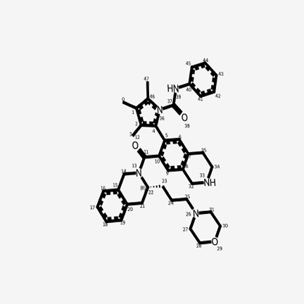 Cc1c(C)c(-c2cc3c(cc2C(=O)N2Cc4ccccc4C[C@H]2CCCN2CCOCC2)CNCC3)n(C(=O)Nc2ccccc2)c1C